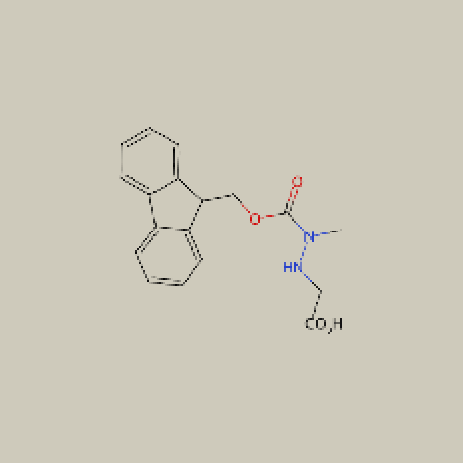 CN(NCC(=O)O)C(=O)OCC1c2ccccc2-c2ccccc21